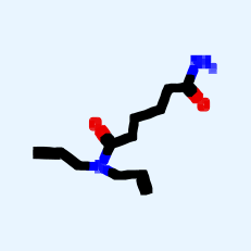 C=CCN(CC=C)C(=O)CCCCC(N)=O